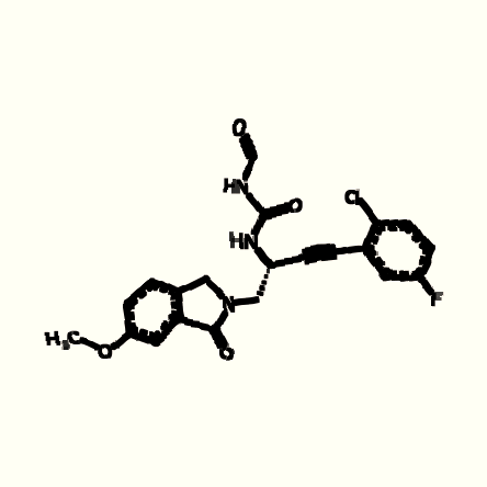 COc1ccc2c(c1)C(=O)N(C[C@@H](C#Cc1cc(F)ccc1Cl)NC(=O)NC=O)C2